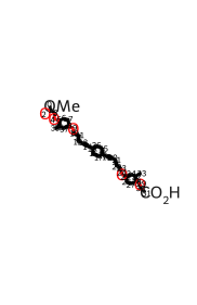 COC(=O)COc1ccc(OCC=CC#Cc2ccc(C#CC=CCOc3ccc(OCC(=O)O)c(C)c3)cc2)cc1C